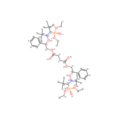 CCOP(=O)(OCC)C(N(OC(COC(=O)CCC(=O)OCC(ON(C(C(C)(C)C)P(=O)(OCC)OCC)C(C)(C)C)c1ccccc1)c1ccccc1)C(C)(C)C)C(C)(C)C